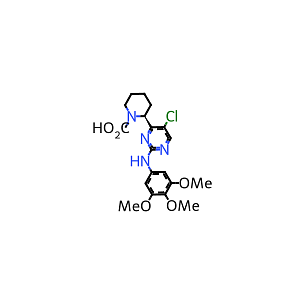 COc1cc(Nc2ncc(Cl)c([C@@H]3CCCCN3C(=O)O)n2)cc(OC)c1OC